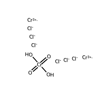 [Cl-].[Cl-].[Cl-].[Cl-].[Cl-].[Cl-].[Cr+3].[Cr+3].[O]=[Cr](=[O])([OH])[OH]